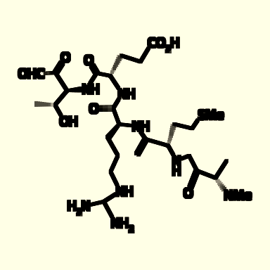 C=C(N[C@@H](CCCNC(N)N)C(=O)N[C@@H](CCC(=O)O)C(=O)N[C@H](C(=O)C=O)[C@@H](C)O)[C@H](CCSC)NCC(=O)[C@H](C)NC